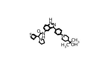 CC(C)(O)C1CCN(c2ccc(-c3n[nH]c4ccc(NC(=O)C(c5ccsc5)N5CCCC5)cc34)cc2)CC1